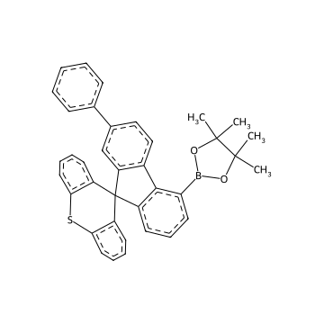 CC1(C)OB(c2cccc3c2-c2ccc(-c4ccccc4)cc2C32c3ccccc3Sc3ccccc32)OC1(C)C